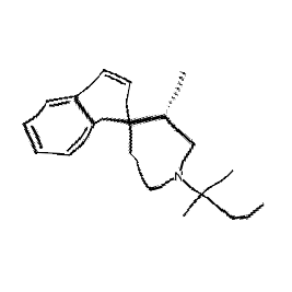 CCC(C)(C)N1CCC2(C=Cc3ccccc32)[C@H](C)C1